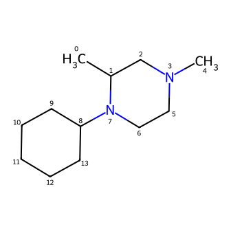 CC1CN(C)CCN1C1CCCCC1